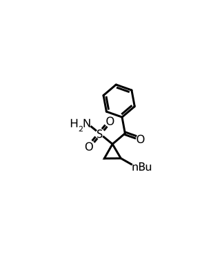 CCCCC1CC1(C(=O)c1ccccc1)S(N)(=O)=O